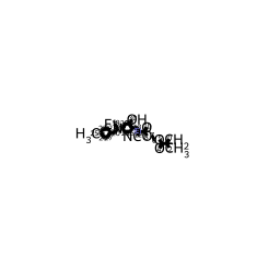 C=C(C)C(=O)OCCOC(=O)/C(C#N)=C/c1ccc(N(CC)Cc2ccc(C)cc2)cc1O